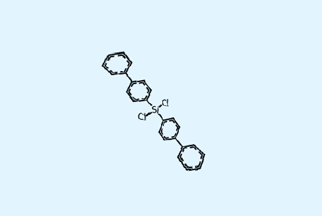 Cl[Si](Cl)(c1ccc(-c2ccccc2)cc1)c1ccc(-c2ccccc2)cc1